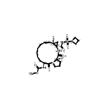 CC(C)(C)OC(=O)N[C@H]1CCCCC/C=C\[C@@H]2C[C@@]2(C(=O)NS(=O)(=O)N2CCC2)NC(=O)[C@@H]2CCCN2C1=O